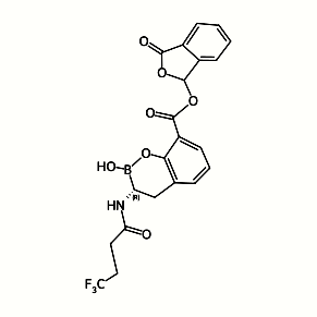 O=C(CCC(F)(F)F)N[C@H]1Cc2cccc(C(=O)OC3OC(=O)c4ccccc43)c2OB1O